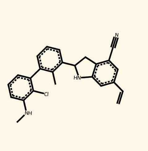 C=Cc1cc(C#N)c2c(c1)NC(c1cccc(-c3cccc(NC)c3Cl)c1C)C2